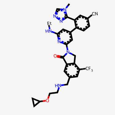 CCNc1cc(-c2ccc(C#N)cc2-c2nncn2C)cc(N2Cc3c(cc(CNCCOC4CC4)cc3C(F)(F)F)C2=O)n1